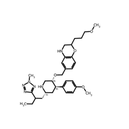 CCC(C[C@H]1C[C@H](c2ccc(OC)cc2)[C@@H](OCc2ccc3c(c2)NCC(CCCOC)O3)CN1)c1nnn(C)n1